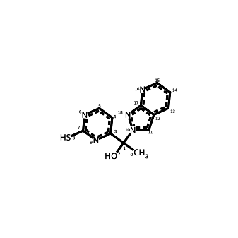 CC(O)(c1ccnc(S)n1)n1cc2cccnc2n1